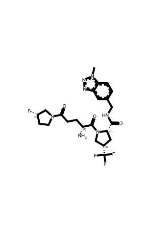 Cn1nnc2cc(CNC(=O)[C@@H]3C[C@H](C(F)(F)F)CN3C(=O)[C@H](N)CCC(=O)N3CC[C@H](F)C3)ccc21